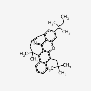 CCS(C)(C)c1cc2c3c(=N)c4c(c5ccccc5c(CC(C)(C)C)c4oc3c1)C(C)(C)C/C=C\2